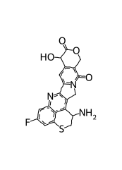 NC1CSc2cc(F)cc3nc4c(c1c23)Cn1c-4cc2c(c1=O)COC(=O)C2O